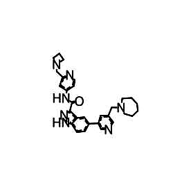 O=C(Nc1ccnc(CN2CCC2)c1)c1n[nH]c2ccc(-c3cncc(CN4CCCCCC4)c3)cc12